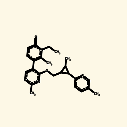 CCn1c(C)c(-c2cnc(C)nc2OCC2C(C)C2c2ccc(C)cn2)ccc1=O